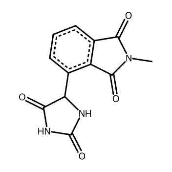 CN1C(=O)c2cccc(C3NC(=O)NC3=O)c2C1=O